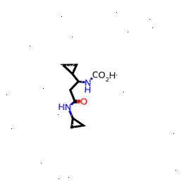 O=C(O)NC(CC(=O)NC1CC1)C1CC1